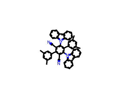 Cc1cc(C)cc(-c2c(C#N)c(-n3c4ccccc4c4ccccc43)c(-c3cc(C)cc(C)c3)c(-n3c4ccccc4c4ccccc43)c2C#N)c1